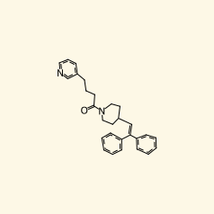 O=C(CCCc1cccnc1)N1CCC(C=C(c2ccccc2)c2ccccc2)CC1